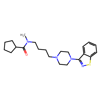 CN(CCCCN1CCN(c2nsc3ccccc23)CC1)C(=O)C1CCCC1